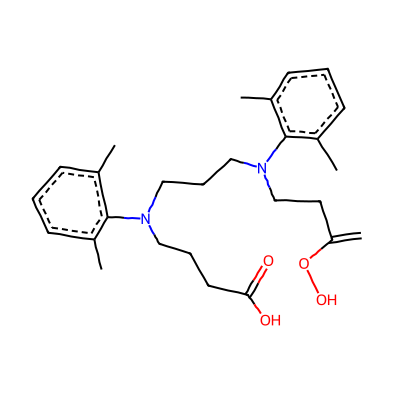 C=C(CCN(CCCN(CCCC(=O)O)c1c(C)cccc1C)c1c(C)cccc1C)OO